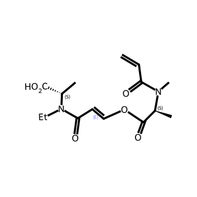 C=CC(=O)N(C)[C@@H](C)C(=O)O/C=C/C(=O)N(CC)[C@@H](C)C(=O)O